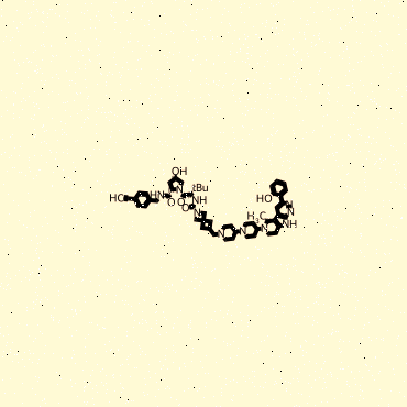 C#Cc1ccc(CNC(=O)[C@@H]2C[C@@H](O)CN2C(=O)[C@@H](NC(=O)N2CC3(CC(CN4CCC(N5CCC(N6CCc7[nH]c8nnc(-c9ccccc9O)cc8c7[C@H]6C)CC5)CC4)C3)C2)C(C)(C)C)cc1